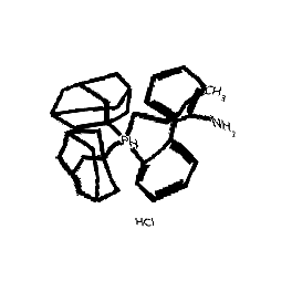 CCCC[PH](c1ccccc1-c1ccccc1N)(C12CC3CC(CC(C3)C1)C2)C12CC3CC(CC(C3)C1)C2.Cl